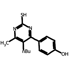 CCCCc1c(C)nc(S)nc1-c1ccc(O)cc1